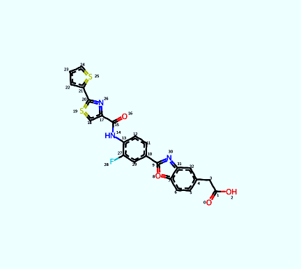 O=C(O)Cc1ccc2oc(-c3ccc(NC(=O)c4csc(-c5cccs5)n4)c(F)c3)nc2c1